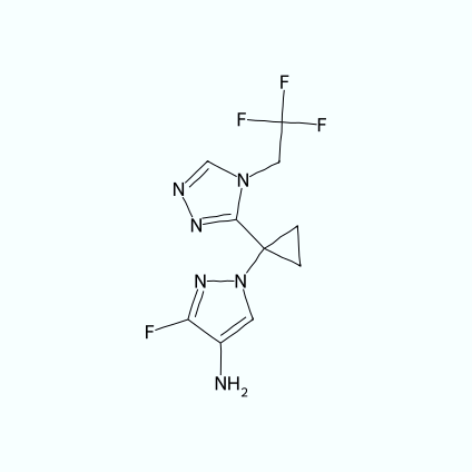 Nc1cn(C2(c3nncn3CC(F)(F)F)CC2)nc1F